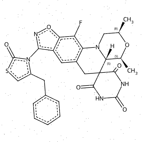 C[C@@H]1CN2c3c(cc4c(-n5c(Cc6ccccc6)csc5=O)noc4c3F)CC3(C(=O)NC(=O)NC3=O)[C@H]2[C@H](C)O1